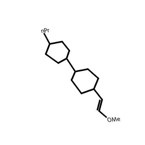 CCCC1CCC(C2CCC(C=COC)CC2)CC1